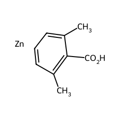 Cc1cccc(C)c1C(=O)O.[Zn]